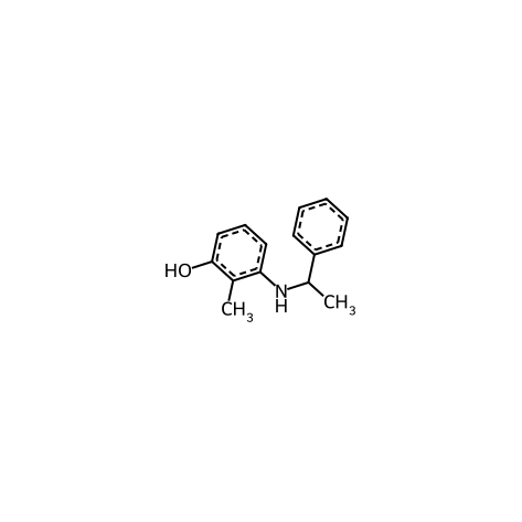 Cc1c(O)cccc1NC(C)c1ccccc1